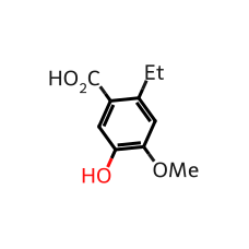 CCc1cc(OC)c(O)cc1C(=O)O